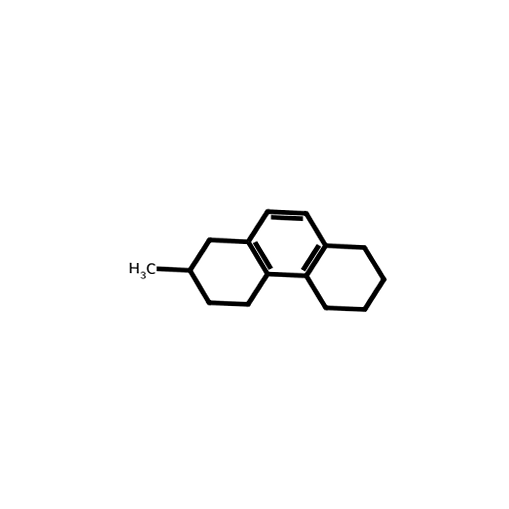 CC1CCc2c(ccc3c2CCCC3)C1